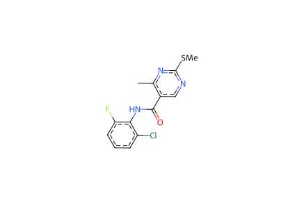 CSc1ncc(C(=O)Nc2c(F)cccc2Cl)c(C)n1